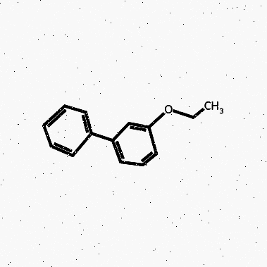 CCOc1c[c]cc(-c2ccccc2)c1